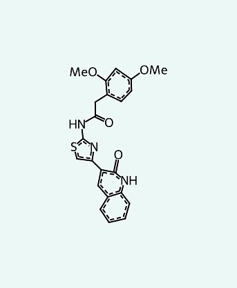 COc1ccc(CC(=O)Nc2nc(-c3cc4ccccc4[nH]c3=O)cs2)c(OC)c1